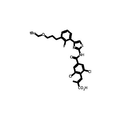 C/C(=C\c1c(Cl)cc(C(=O)Nc2nc(-c3cccc(CCCOCC(C)(C)C)c3F)cs2)cc1Cl)C(=O)O